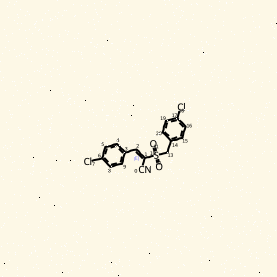 N#C/C(=C\c1ccc(Cl)cc1)S(=O)(=O)Cc1ccc(Cl)cc1